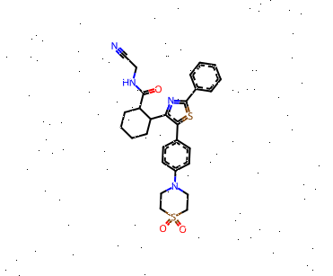 N#CCNC(=O)C1CCCCC1c1nc(-c2ccccc2)sc1-c1ccc(N2CCS(=O)(=O)CC2)cc1